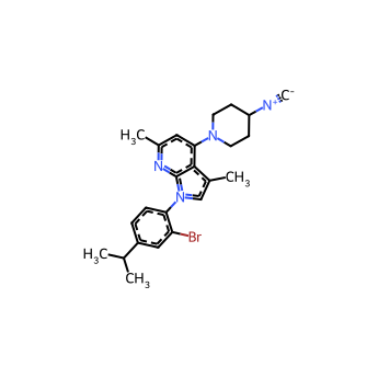 [C-]#[N+]C1CCN(c2cc(C)nc3c2c(C)cn3-c2ccc(C(C)C)cc2Br)CC1